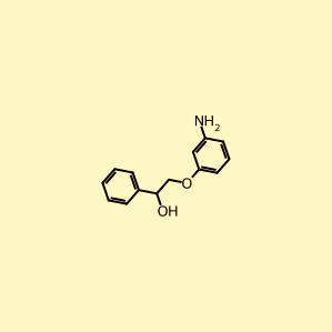 Nc1cccc(OCC(O)c2ccccc2)c1